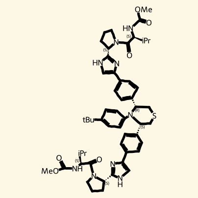 COC(=O)N[C@H](C(=O)N1CCC[C@H]1c1nc(-c2ccc([C@H]3CSC[C@@H](c4ccc(-c5c[nH]c([C@@H]6CCCN6C(=O)[C@@H](NC(=O)OC)C(C)C)n5)cc4)N3c3ccc(C(C)(C)C)cc3)cc2)c[nH]1)C(C)C